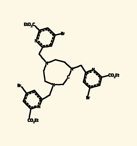 CCOC(=O)c1cc(Br)cc(CN2CCN(Cc3cc(Br)cc(C(=O)OCC)n3)CCN(Cc3cc(Br)cc(C(=O)OCC)n3)CC2)n1